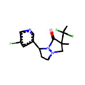 CC(F)(F)C1(C)CN2CCC(c3cncc(F)c3)N2C1=O